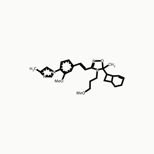 COCCCN1C(/C=C/c2ccc(-n3cnc(C)c3)c(OC)c2)=NOC1(C)C1CC2CCC=CC21